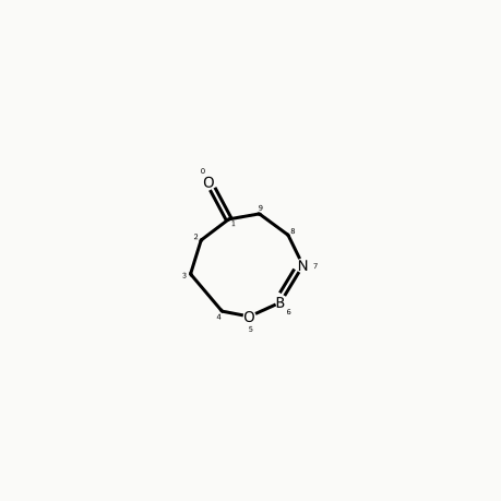 O=C1CCCO/B=N\CC1